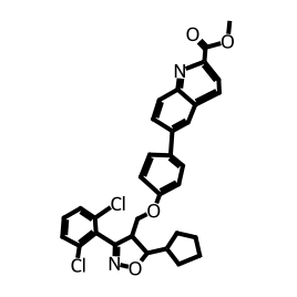 COC(=O)c1ccc2cc(-c3ccc(OCC4C(c5c(Cl)cccc5Cl)=NOC4C4CCCC4)cc3)ccc2n1